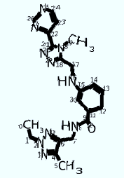 CCn1nc(C)c(CNC(=O)c2cccc(NCc3nnc(-c4ccncn4)n3C)c2)n1